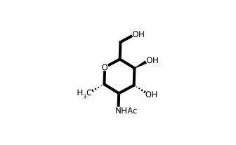 CC(=O)NC1[C@H](C)OC(CO)[C@@H](O)[C@@H]1O